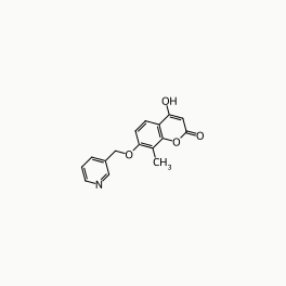 Cc1c(OCc2cccnc2)ccc2c(O)cc(=O)oc12